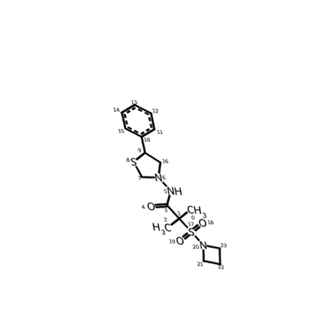 CC(C)(C(=O)NN1CSC(c2ccccc2)C1)S(=O)(=O)N1CCC1